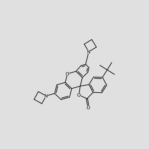 CC(C)(C)c1ccc2c(c1)C1(OC2=O)c2ccc(N3CCC3)cc2Oc2cc(N3CCC3)ccc21